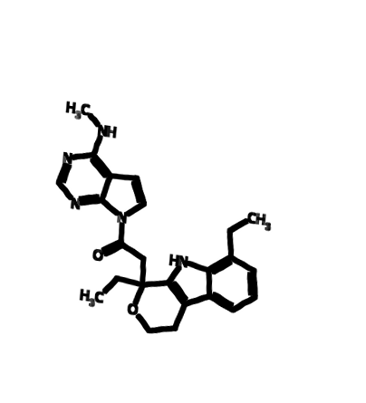 CCc1cccc2c3c([nH]c12)C(CC)(CC(=O)n1ccc2c(NC)ncnc21)OCC3